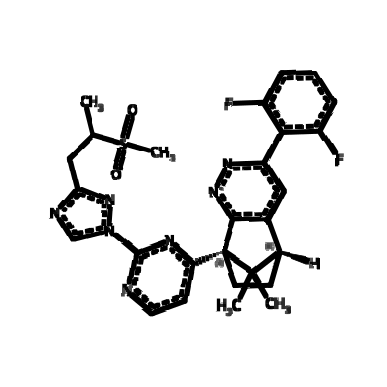 CC(Cc1ncn(-c2nccc([C@]34CC[C@@H](c5cc(-c6c(F)cccc6F)nnc53)C4(C)C)n2)n1)S(C)(=O)=O